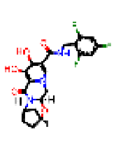 O=C(NCc1c(F)cc(F)cc1F)C1=CN2C[C@H]3O[C@@H]4CC[C@H](C4)N3C(=O)C2=C(O)C1O